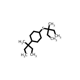 CCC(C)(CC)SC1CCC(C(C)(CC)CC)CC1